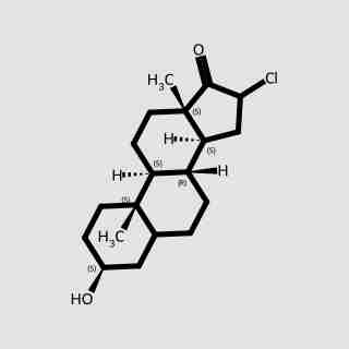 C[C@]12CC[C@H](O)CC1CC[C@@H]1[C@@H]2CC[C@]2(C)C(=O)C(Cl)C[C@@H]12